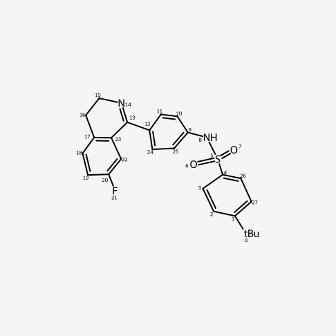 CC(C)(C)c1ccc(S(=O)(=O)Nc2ccc(C3=NCCc4ccc(F)cc43)cc2)cc1